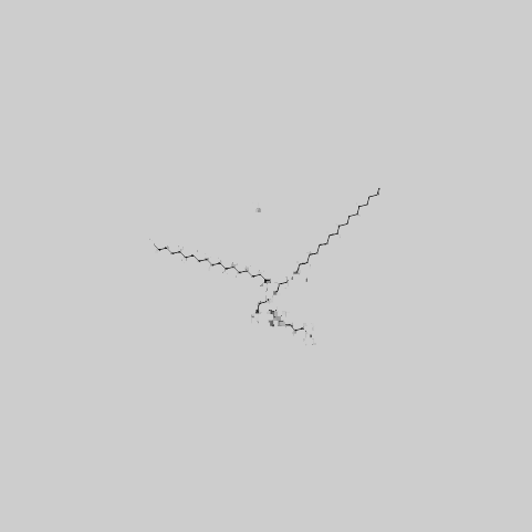 CCCCCCCCCCCCCCCCCC(=O)OCC(COC(CC#N)OOP(=O)(O)OCCC[N+](C)(C)C)OC(=O)CCCCCCCCCCCCCCCCC.[Cl-]